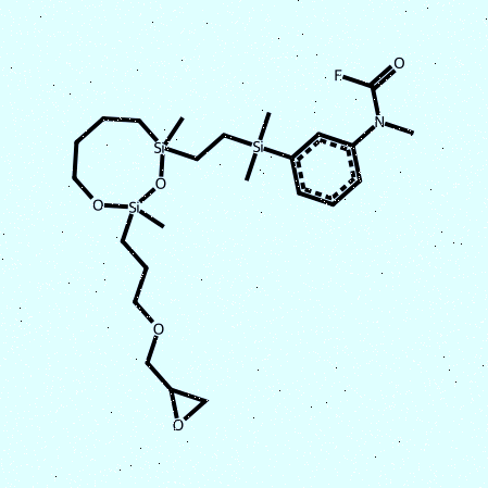 CN(C(=O)F)c1cccc([Si](C)(C)CC[Si]2(C)CCCCO[Si](C)(CCCOCC3CO3)O2)c1